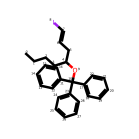 CCCCC(CC=CI)OC(c1ccccc1)(c1ccccc1)c1ccccc1